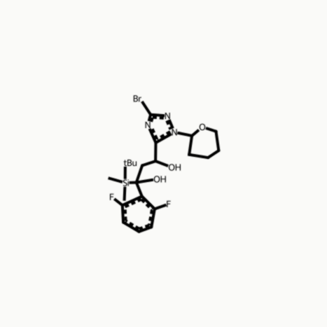 CC(C)(C)[Si](C)(C)C(O)(CC(O)c1nc(Br)nn1C1CCCCO1)c1c(F)cccc1F